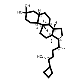 C[C@H](CC[C@@H](O)C1CCC1)[C@H]1CC[C@H]2[C@@H]3CC[C@H]4CC(O)(O)CC[C@]4(C)[C@H]3CC[C@]12C